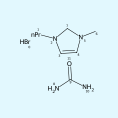 Br.CCCN1C=CN(C)C1.NC(N)=O